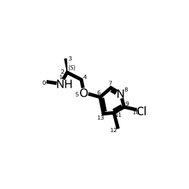 CN[C@@H](C)COc1cnc(Cl)c(C)c1